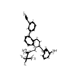 N#Cc1cccc(-c2cccc3c2CCC(c2cccc(O)c2)N3CC(O)C(F)(F)F)c1